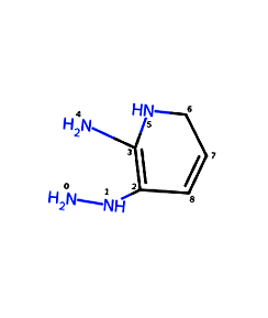 NNC1=C(N)NCC=C1